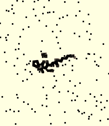 CC(C)C[C@@H](C(=O)NCC(=O)NCCCCN)N(C(=O)[C@@H]1CCCN1)N(C)C.Cl.Cl